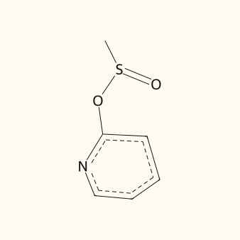 CS(=O)Oc1ccccn1